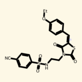 CCOc1ccc(/C=C2/SC(=O)N(CCNS(=O)(=O)c3ccc(C#N)cc3)C2=O)cc1